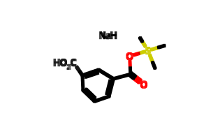 CS(C)(C)OC(=O)c1cccc(C(=O)O)c1.[NaH]